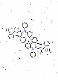 CC1(C)c2ccccc2-c2ccc(N(c3ccccc3)c3cccc4c3-c3ccccc3C43c4ccccc4-c4c(N(c5ccccc5)c5ccc6c(c5)C(C)(C)c5ccccc5-6)cccc43)cc21